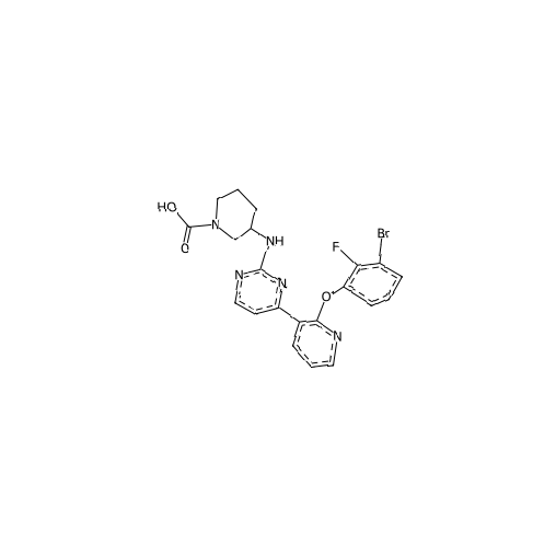 O=C(O)N1CCCC(Nc2nccc(-c3cccnc3Oc3cccc(Br)c3F)n2)C1